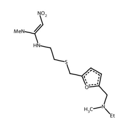 CCN(C)Cc1ccc(CSCCNC(=C[N+](=O)[O-])NC)o1